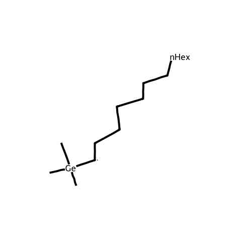 CCCCCCCCCCCC[CH][Ge]([CH3])([CH3])[CH3]